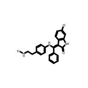 CCNCCc1ccc(NC(=C2C(=O)Nc3cc(Cl)ccc32)c2ccccc2)cc1